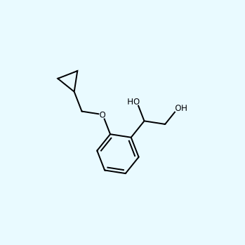 OCC(O)c1ccccc1OCC1CC1